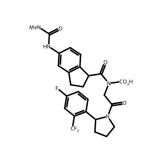 CNC(=O)Nc1ccc2c(c1)CCC2C(=O)N(CC(=O)N1CCCC1c1ccc(F)cc1C(F)(F)F)C(=O)O